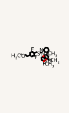 CCO/C=C/c1cc(F)c(CSc2nc3c(n2-c2ccc(F)cc2)C(C)(c2ccc(OC)c(OC)c2)CCC3)c(F)c1